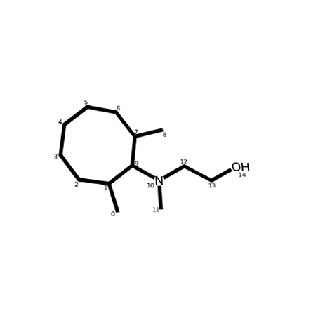 CC1CCCCCC(C)C1N(C)CCO